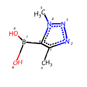 Cc1nnn(C)c1B(O)O